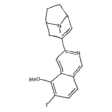 COc1c(F)ccc2cnc(C3=CC4CCC(C3)N4C)cc12